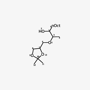 CCCCCCCCC(O)C(C)OCC1COC(C)(C)O1